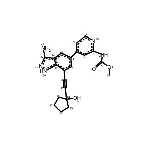 COC(=O)Nc1cc(-c2cc(C#CC3(O)CCCC3)c3[nH]nc(N)c3c2)ccn1